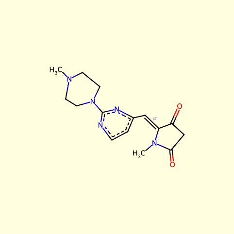 CN1CCN(c2nccc(/C=C3/C(=O)CC(=O)N3C)n2)CC1